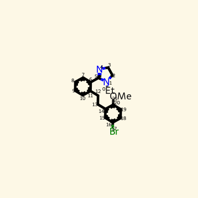 CCN1CCN=C1c1ccccc1CCc1cc(Br)ccc1OC